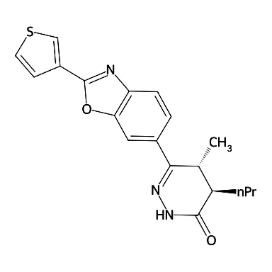 CCC[C@H]1C(=O)NN=C(c2ccc3nc(-c4ccsc4)oc3c2)[C@@H]1C